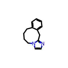 c1ccc2c(c1)CCCCn1ccnc1C2